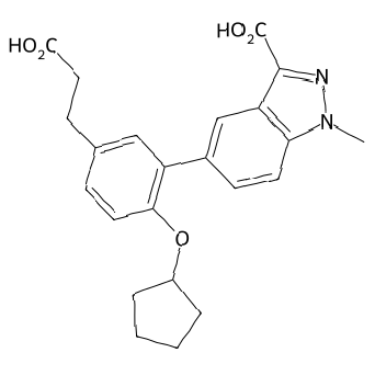 Cn1nc(C(=O)O)c2cc(-c3cc(CCC(=O)O)ccc3OC3CCCC3)ccc21